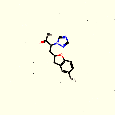 CC(C)(C)C(=O)C(CC1Cc2cc([N+](=O)[O-])ccc2O1)n1cncn1